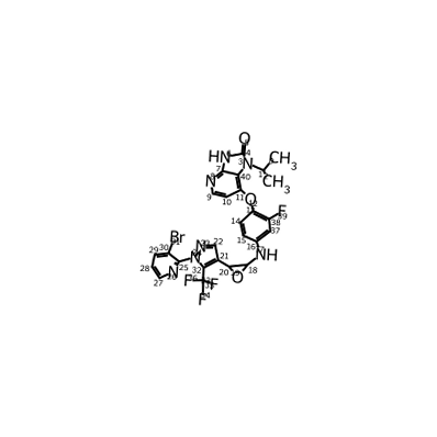 CC(C)n1c(=O)[nH]c2nccc(Oc3ccc(NC4OC4c4cnn(-c5ncccc5Br)c4C(F)(F)F)cc3F)c21